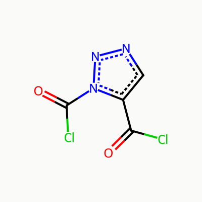 O=C(Cl)c1cnnn1C(=O)Cl